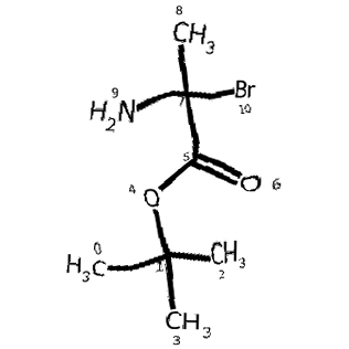 CC(C)(C)OC(=O)C(C)(N)Br